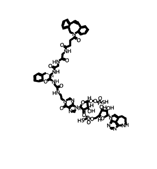 O=C(CCC(=O)N1Cc2ccccc2C#Cc2ccccc21)NCC(=O)NCC(=O)N[C@@H](Cc1ccccc1)C(=O)NCC(=O)NCCn1cnc2c(ncn2[C@@H]2O[C@@H]3COP(=O)(S)O[C@H]4[C@@H](O)[C@H](n5cc6c7c(ncnc75)NCCC6)O[C@@H]4COP(=O)(S)O[C@@H]2[C@@H]3O)c1=O